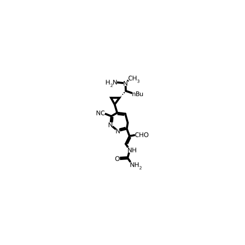 CCCCC([C@H]1CC1C1=CCC(/C(C=O)=C/NC(N)=O)=NN=C1C#N)N(C)N